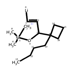 [Li]/[CH]=C/C(O[Si](C)(C)C)C1(CCCC)CCC1